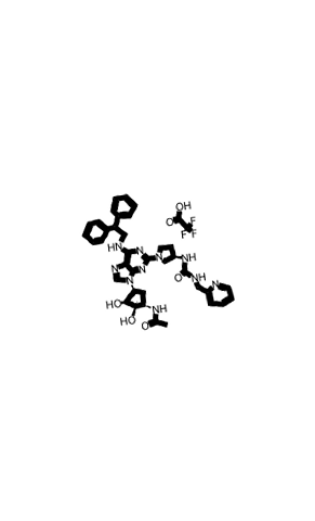 CC(=O)N[C@H]1C[C@@H](n2cnc3c(NCC(c4ccccc4)c4ccccc4)nc(N4CC[C@@H](NC(=O)NCc5ccccn5)C4)nc32)[C@H](O)[C@@H]1O.O=C(O)C(F)(F)F